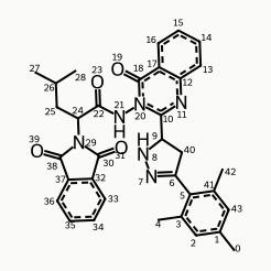 Cc1cc(C)c(C2=NNC(c3nc4ccccc4c(=O)n3NC(=O)C(CC(C)C)N3C(=O)c4ccccc4C3=O)C2)c(C)c1